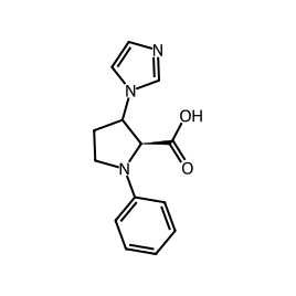 O=C(O)[C@@H]1C(n2ccnc2)CCN1c1ccccc1